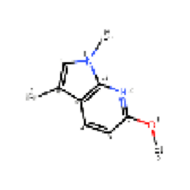 CCOc1ccc2c(C(C)C)cn(C(C)C)c2n1